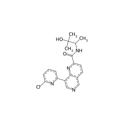 CC(NC(=O)c1ccc2cncc(-c3cccc(Cl)n3)c2n1)C(C)(C)O